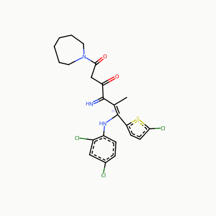 C/C(C(=N)C(=O)CC(=O)N1CCCCCC1)=C(/Nc1ccc(Cl)cc1Cl)c1ccc(Cl)s1